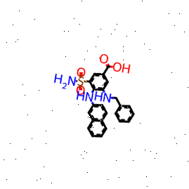 NS(=O)(=O)c1cc(C(=O)O)cc(NCc2ccccc2)c1Nc1ccc2ccccc2c1